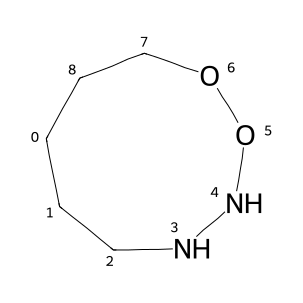 C1CCNNOOCC1